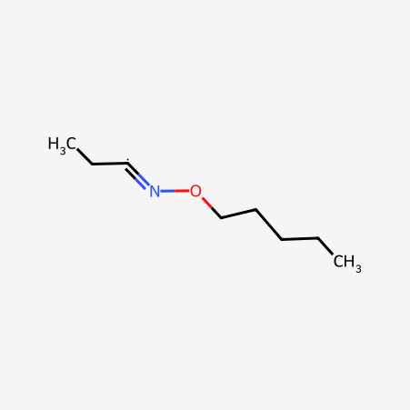 CC/[C]=N/OCCCCC